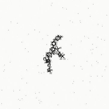 CC(CCO[Si](C)(C)C(C)(C)C)Oc1cc(Nc2ccnc(-c3cn(COCC[Si](C)(C)C)n(C)c3=O)n2)ncc1-c1ccc(CN2CCN(C)CC2)cc1